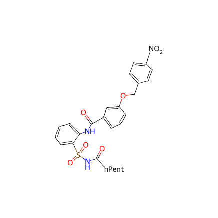 CCCCCC(=O)NS(=O)(=O)c1ccccc1NC(=O)c1cccc(OCc2ccc([N+](=O)[O-])cc2)c1